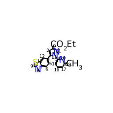 CCOC(=O)c1cc(-c2ccc3ncsc3c2)n(-c2cccc(C)n2)n1